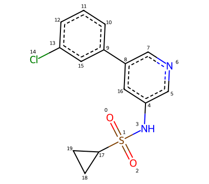 O=S(=O)(Nc1cncc(-c2cccc(Cl)c2)c1)C1CC1